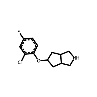 Fc1ccc(OC2CC3CNCC3C2)c(Cl)c1